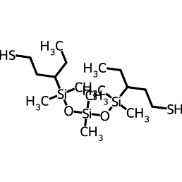 CCC(CCS)[Si](C)(C)O[Si](C)(C)O[Si](C)(C)C(CC)CCS